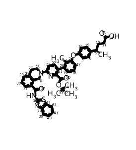 Cc1c(Oc2ccc([C@H](C)CCC(=O)O)cc2)cccc1-c1ccc(N2CCc3cccc(C(=O)Nc4nc5ccccc5s4)c3C2)nc1C(=O)OC(C)(C)C